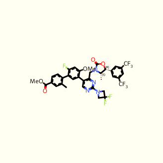 COC(=O)c1ccc(-c2cc(-c3cnc(N4CC(F)(F)C4)nc3CN3C(=O)O[C@H](c4cc(C(F)(F)F)cc(C(F)(F)F)c4)[C@@H]3C)c(OC)cc2F)c(C)c1